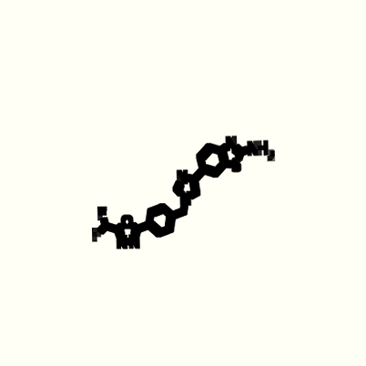 Nc1nc2ccc(-c3cn(Cc4ccc(-c5nnc(C(F)F)o5)cc4)cn3)cc2s1